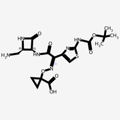 CC(C)(C)OC(=O)Nc1nc(/C(=N/OC2(C(=O)O)CC2)C(=O)N[C@@H]2C(=O)N[C@@H]2CN)cs1